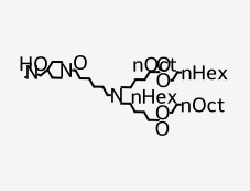 CCCCCCCCC(CCCCCC)COC(=O)CCCCCN(CCCCCC(=O)OCC(CCCCCC)CCCCCCCC)CCCCCC(=O)N1CCC(O)(CN(C)C)CC1